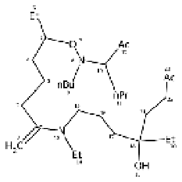 C=C(CCCC(CC)ON(CCCC)C(CCC)C(C)=O)N(CC)CCCC(O)(CC)CCC(C)=O